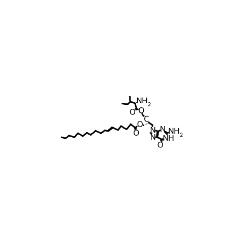 CCCCCCCCCCC/C=C/CCCCC(=O)OC[C@H](CCOC(=O)[C@@H](N)C(C)CC)Cn1cnc2c(=O)[nH]c(N)nc21